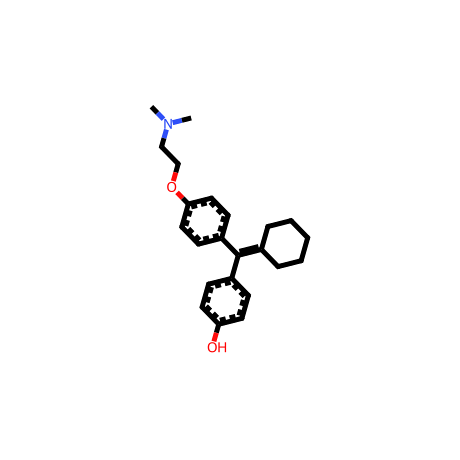 CN(C)CCOc1ccc(C(=C2CCCCC2)c2ccc(O)cc2)cc1